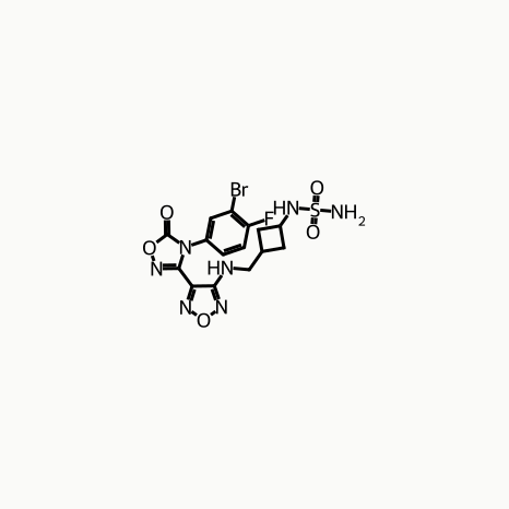 NS(=O)(=O)NC1CC(CNc2nonc2-c2noc(=O)n2-c2ccc(F)c(Br)c2)C1